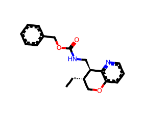 CC[C@H]1COc2cccnc2[C@@H]1CNC(=O)OCc1ccccc1